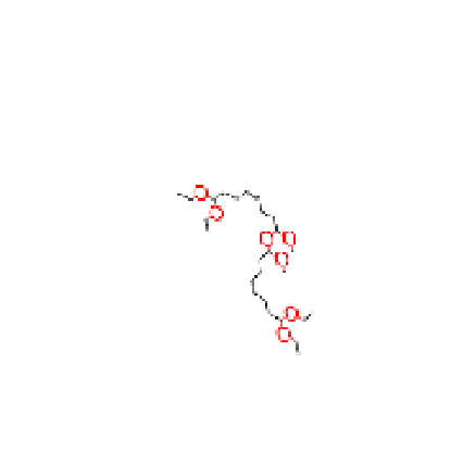 CCOC(CC/C=C\CCC(OC)OC(CC/C=C\CCC(OCC)OCC)OC)OCC